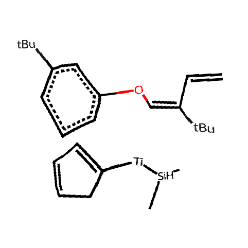 C=CC(=COc1cccc(C(C)(C)C)c1)C(C)(C)C.C[SiH](C)[Ti][C]1=CC=CC1